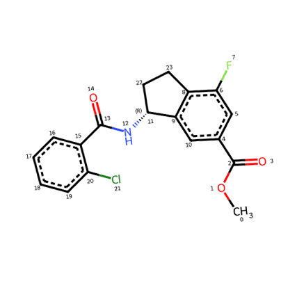 COC(=O)c1cc(F)c2c(c1)[C@H](NC(=O)c1ccccc1Cl)CC2